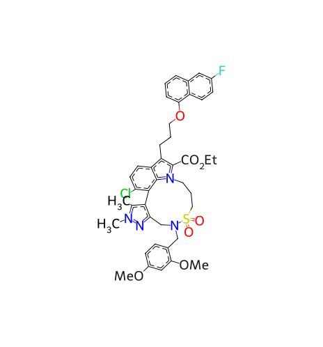 CCOC(=O)c1c(CCCOc2cccc3cc(F)ccc23)c2ccc(Cl)c3c2n1CCCS(=O)(=O)N(Cc1ccc(OC)cc1OC)Cc1nn(C)c(C)c1-3